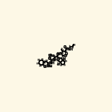 C=CCNC(=O)C(=O)C(C)NC(=O)[C@@H]1[C@H]2CCC[C@H]2CN1C(=O)[C@@H](NC(=O)N[C@H](CN1CCCCC1=O)C(C)(C)C)C(C)(C)C